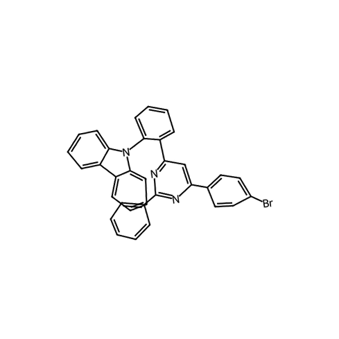 Brc1ccc(-c2cc(-c3ccccc3-n3c4ccccc4c4ccccc43)nc(-c3ccccc3)n2)cc1